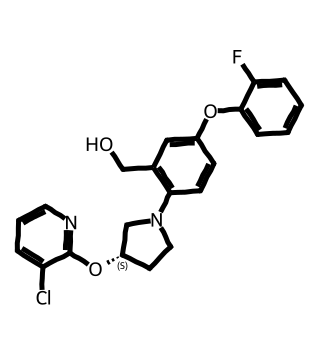 OCc1cc(Oc2ccccc2F)ccc1N1CC[C@H](Oc2ncccc2Cl)C1